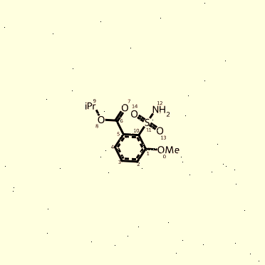 COc1cccc(C(=O)OC(C)C)c1S(N)(=O)=O